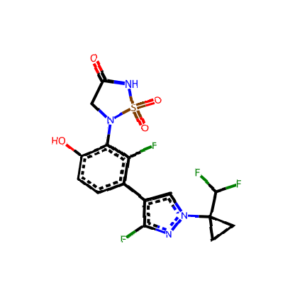 O=C1CN(c2c(O)ccc(-c3cn(C4(C(F)F)CC4)nc3F)c2F)S(=O)(=O)N1